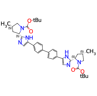 C[C@H]1C[C@@H](c2ncc(-c3ccc(-c4ccc(-c5cnc([C@@H]6C[C@H](C)CN6C(=O)OC(C)(C)C)[nH]5)cc4)cc3)[nH]2)N(C(=O)OC(C)(C)C)C1